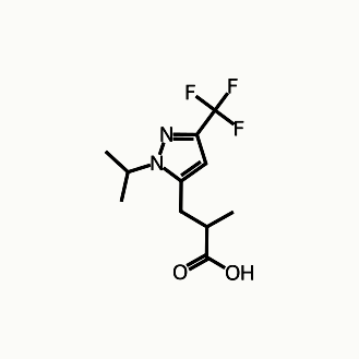 CC(Cc1cc(C(F)(F)F)nn1C(C)C)C(=O)O